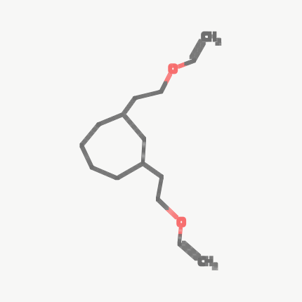 C=COCCC1CCCCC(CCOC=C)C1